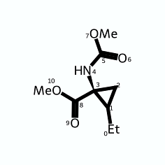 CCC1C[C@@]1(NC(=O)OC)C(=O)OC